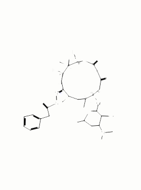 CC[C@H]1OC(=O)[C@H](C)C(=O)[C@H](C)[C@@H](OC2OC(C)CC(N(C)C)C2O)[C@](C)(OC)C[C@@H](C)/C(=N\NC(=O)Cc2ccccc2)[C@H](C)[C@@H](O)[C@]1(C)O